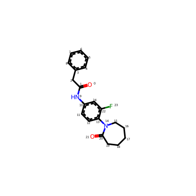 O=C(Cc1ccccc1)Nc1ccc(N2CCCCCC2=O)c(F)c1